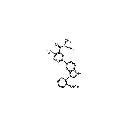 COc1ccccc1-c1c[nH]c2ncc(-c3cc(C(=O)N(C)C)c(N)nn3)cc12